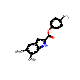 COc1cc2cc(C(=O)Oc3ccc([N+](=O)[O-])cc3)[nH]c2cc1OC